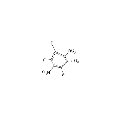 Cc1c(F)c([N+](=O)[O-])c(F)c(F)c1[N+](=O)[O-]